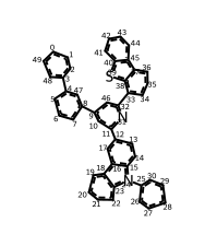 c1ccc(-c2cccc(-c3cc(-c4ccc5c(c4)c4ccccc4n5-c4ccccc4)nc(-c4cccc5c4sc4ccccc45)c3)c2)cc1